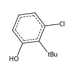 CC(C)(C)c1c(O)cccc1Cl